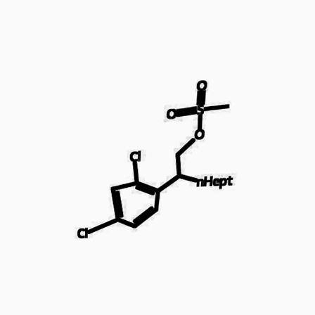 CCCCCCCC(COS(C)(=O)=O)c1ccc(Cl)cc1Cl